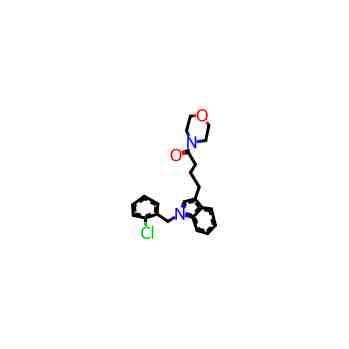 O=C(CCCc1cn(Cc2ccccc2Cl)c2ccccc12)N1CCOCC1